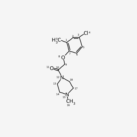 Cc1cc(Cl)ccc1OCC(=O)N1CCN(C)CC1